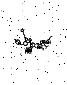 CCCCNC(=O)[C@@H](C[C@H](O)[C@@H](N)C[C@H](CNC(=O)c1ccc(CN2CCN(C)CC2)cc1OCCCCOC)C(C)C)C(C)C.Cl.Cl.Cl